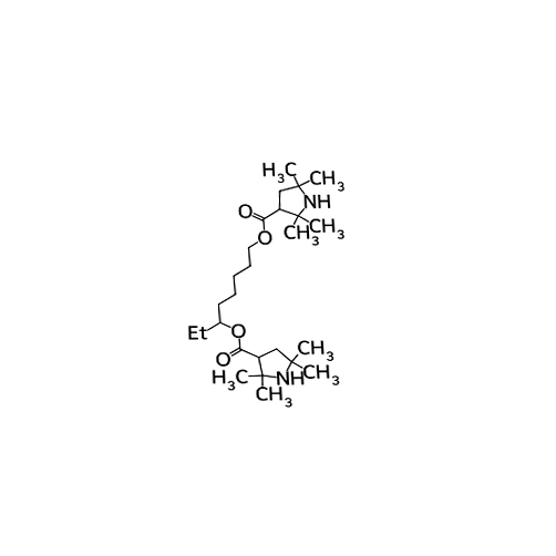 CCC(CCCCCOC(=O)C1CC(C)(C)NC1(C)C)OC(=O)C1CC(C)(C)NC1(C)C